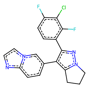 Fc1ccc(-c2nn3c(c2-c2ccc4nccn4c2)CCC3)c(F)c1Cl